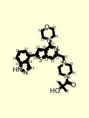 CC(C)(O)C(=O)N1CCN(Cc2cc3sc(-c4cccc5[nH]ncc45)cc3c(N3CCOCC3)n2)CC1